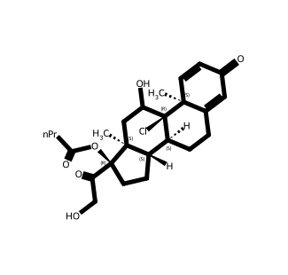 CCCC(=O)O[C@]1(C(=O)CO)CC[C@H]2[C@@H]3CCC4=CC(=O)C=C[C@]4(C)[C@@]3(Cl)C(O)C[C@@]21C